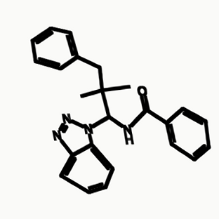 CC(C)(Cc1ccccc1)C(NC(=O)c1ccccc1)n1nnc2ccccc21